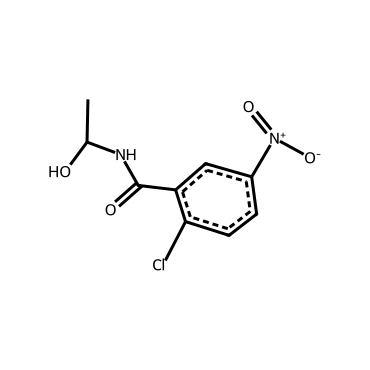 CC(O)NC(=O)c1cc([N+](=O)[O-])ccc1Cl